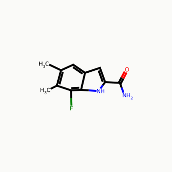 Cc1cc2cc(C(N)=O)[nH]c2c(F)c1C